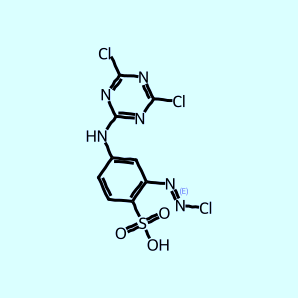 O=S(=O)(O)c1ccc(Nc2nc(Cl)nc(Cl)n2)cc1/N=N/Cl